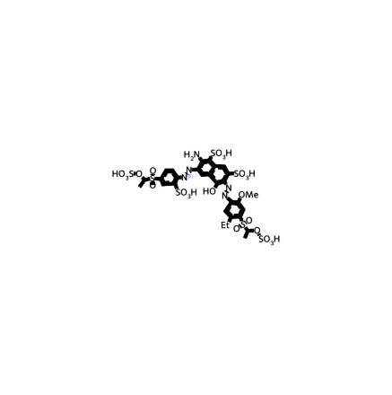 CCc1cc(N=Nc2c(S(=O)(=O)O)cc3c(S(=O)(=O)O)c(N)c(/N=N/c4ccc(S(=O)(=O)C(C)OS(=O)(=O)O)cc4S(=O)(=O)O)cc3c2O)c(OC)cc1S(=O)(=O)C(C)OS(=O)(=O)O